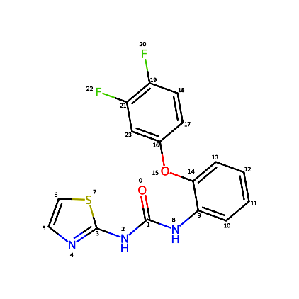 O=C(Nc1nccs1)Nc1ccccc1Oc1ccc(F)c(F)c1